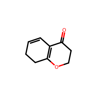 O=C1CCOC2=C1C=CCC2